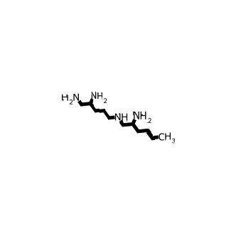 CCCCC(N)CNCCCC(N)CN